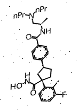 CCCN(CCC)C[C@@H](C)NC(=O)c1ccc([C@H]2CC[C@@](C(=O)NO)(c3cccc(F)c3C)C2)cc1